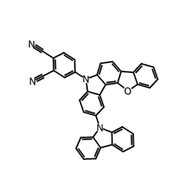 N#Cc1ccc(-n2c3ccc(-n4c5ccccc5c5ccccc54)cc3c3c4oc5ccccc5c4ccc32)cc1C#N